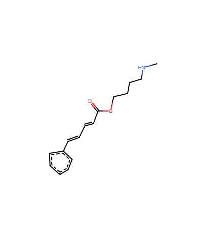 CNCCCCOC(=O)/C=C/C=C/c1ccccc1